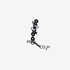 CN1/C(=C/C2=C([O-])C(=C\C3=[N+](C)c4ccc(-c5ccc(P(=O)(O)OCCCCCC(=O)O)cc5)cc4C3(C)C)/C2=O)C(C)(C)c2ccccc21